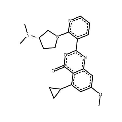 COc1cc(C2CC2)c2c(=O)oc(-c3cccnc3N3CC[C@H](N(C)C)C3)nc2c1